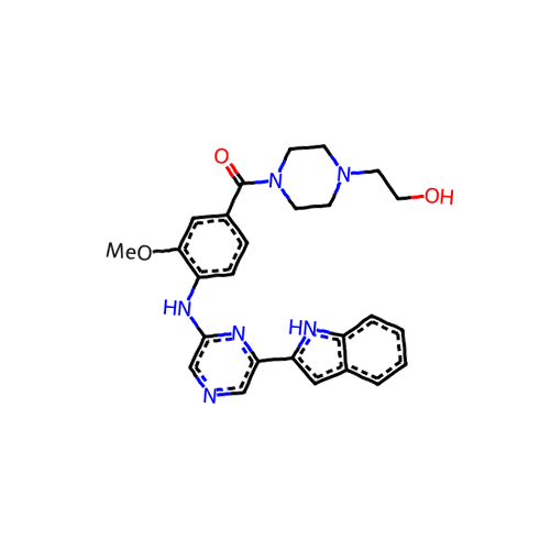 COc1cc(C(=O)N2CCN(CCO)CC2)ccc1Nc1cncc(-c2cc3ccccc3[nH]2)n1